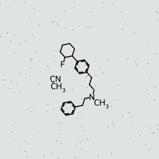 CC#N.CN(CCCc1ccc(C2CCCCC2F)cc1)CCc1ccccc1